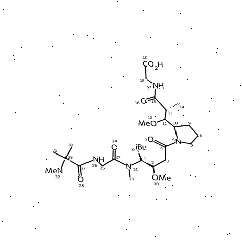 CC[C@H](C)[C@@H](C(CC(=O)N1CCCC1C(OC)[C@@H](C)C(=O)NCC(=O)O)OC)N(C)C(=O)CNC(=O)C(C)(C)NC